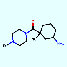 CCN1CCN(C(=O)C2(C#N)CCCC(N)C2)CC1